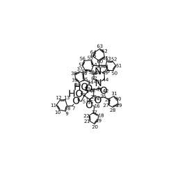 C[C@@H](O)C(O)(COCc1ccccc1)[C@@H](OCc1ccccc1)[C@H](OCc1ccccc1)[C@@H](OCc1ccccc1)C(=O)N1CCN(C(c2ccccc2)(c2ccccc2)c2ccccc2)CC1